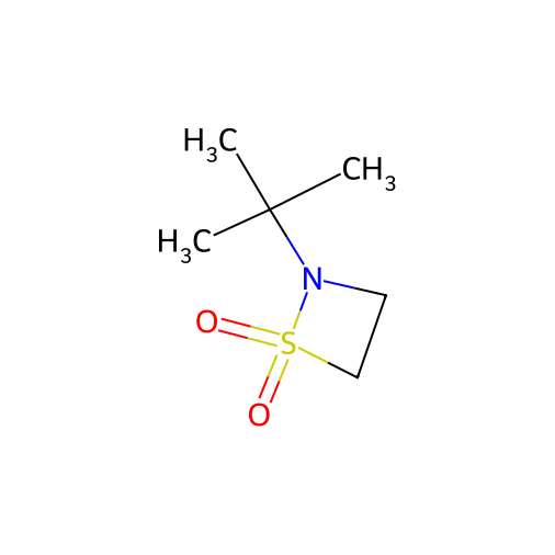 CC(C)(C)N1CCS1(=O)=O